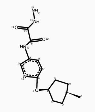 C[C@H]1CC[C@@H](Oc2ccc(NC(=O)C(=O)NN)cn2)CC1